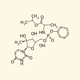 CC(C)OC(=O)C(C)N[P@](=O)(OC[C@@]1(O)O[C@@H](n2ccc(=O)[nH]c2=O)[C@](C)(O)[C@@H]1O)Oc1ccccc1